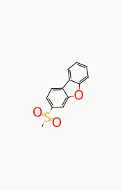 CS(=O)(=O)c1ccc2c(c1)oc1ccccc12